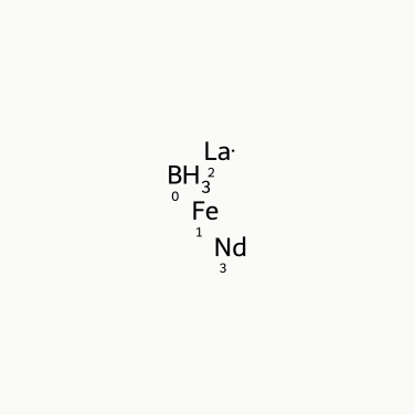 B.[Fe].[La].[Nd]